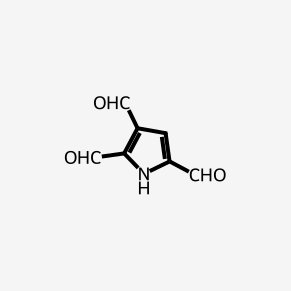 O=Cc1cc(C=O)c(C=O)[nH]1